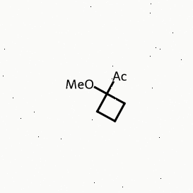 COC1(C(C)=O)CCC1